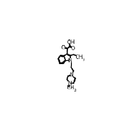 CCc1c(C(=O)C(=O)O)c2ccccc2n1CCCN1CCN(C)CC1